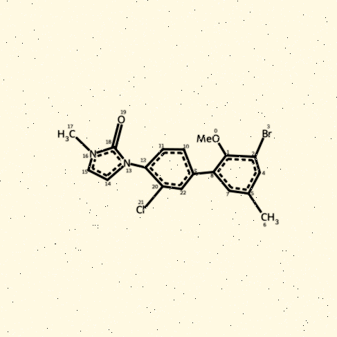 COc1c(Br)cc(C)cc1-c1ccc(-n2ccn(C)c2=O)c(Cl)c1